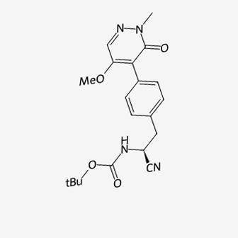 COc1cnn(C)c(=O)c1-c1ccc(C[C@@H](C#N)NC(=O)OC(C)(C)C)cc1